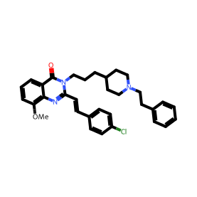 COc1cccc2c(=O)n(CCCC3CCN(CCc4ccccc4)CC3)c(C=Cc3ccc(Cl)cc3)nc12